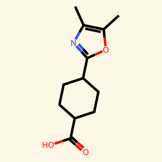 Cc1nc(C2CCC(C(=O)O)CC2)oc1C